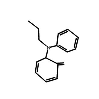 C=C1C=CC=CC1N(CCC)c1ccccc1